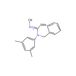 CS/C(=N\C#N)N(Cc1ccccc1)c1cc(C)cc(C)c1